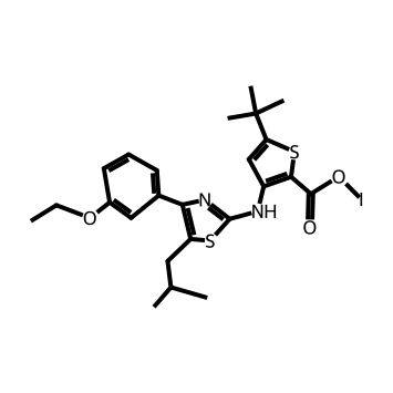 CCOc1cccc(-c2nc(Nc3cc(C(C)(C)C)sc3C(=O)OI)sc2CC(C)C)c1